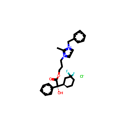 Cc1n(CCCOC(=O)[C@](O)(c2ccccc2)[C@@H]2CCCC(F)(F)C2)cc[n+]1Cc1ccccc1.[Cl-]